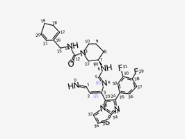 N=C/C=C(\N=C\N[C@@H]1CCCN(C(=O)NCC2=CCCC=C2)C1)c1c(-c2ccc(F)c(F)c2)nc2sccn12